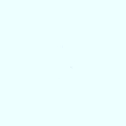 Cc1ccc(S(=O)(=O)O)cc1.[CH3][Mg+2]